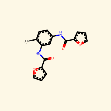 O=C(Nc1ccc([N+](=O)[O-])c(NC(=O)c2ccco2)c1)c1ccco1